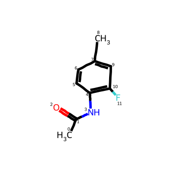 CC(=O)Nc1ccc(C)cc1F